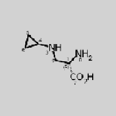 N[C@@H](CNC1CC1)C(=O)O